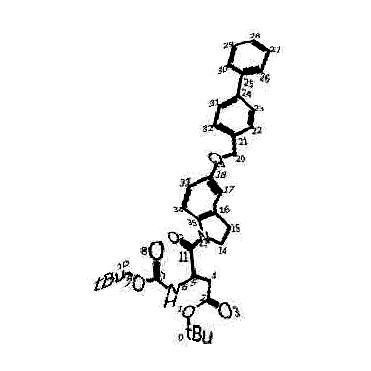 CC(C)(C)OC(=O)CC(NC(=O)OC(C)(C)C)C(=O)N1CCc2cc(OCc3ccc(-c4ccccc4)cc3)ccc21